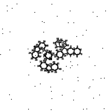 c1ccc2cc3c(cc2c1)-c1ccc(-c2nc(-c4cccc5sc6ccccc6c45)nc(-c4cccc5sc6ccccc6c45)n2)cc1C31C2CC3CC(C2)CC1C3